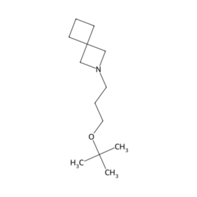 CC(C)(C)OCCCN1CC2(CCC2)C1